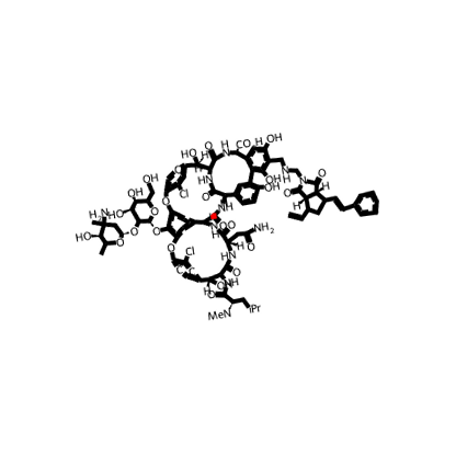 C=CC1CC(/C=C/c2ccccc2)[C@H]2C(=O)N(CNCc3c(O)cc4c(c3O)-c3cc(ccc3O)[C@H]3NC(=O)[C@@H]5NC(=O)[C@H](CC(N)=O)NC(=O)C(NC(=O)[C@H](CC(C)C)NC)[C@H](O)c6ccc(c(Cl)c6)Oc6cc5cc(c6O[C@H]5OC(CO)[C@H](O)[C@H](O)C5O[C@H]5CC(C)(N)[C@H](O)C(C)O5)Oc5ccc(cc5Cl)[C@@H](O)[C@H](NC3=O)C(=O)N[C@@H]4C(=O)O)C(=O)[C@@H]12